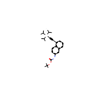 CC(C)[Si](C#Cc1cccc2cc(NC(=O)OC(C)(C)C)ccc12)(C(C)C)C(C)C